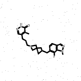 Cc1c(CCCN2CC3(CC(Cc4ccc5cnn(C)c5c4F)C3)C2)cn[nH]c1=O